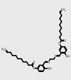 C=CCCCCCCCCC(=O)Oc1ccc(O)c(C=NCCN=Cc2cc(OC(=O)CCCCCCCCC=C)ccc2O)c1